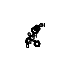 O=C(NC1CCC2CC3C[C@@](O)(C2)CC31)c1ccc(Cl)nc1SC1CCCCC1